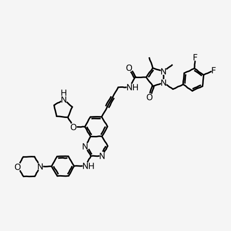 Cc1c(C(=O)NCC#Cc2cc(OC3CCNC3)c3nc(Nc4ccc(N5CCOCC5)cc4)ncc3c2)c(=O)n(Cc2ccc(F)c(F)c2)n1C